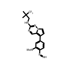 CNc1cc(-c2ccn3nc(NCC(C)(C)C(F)(F)F)ncc23)ccc1N=N